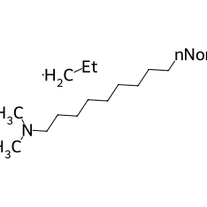 CCCCCCCCCCCCCCCCCCN(C)C.[CH2]CC